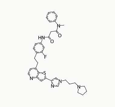 CN(C(=O)CC(=O)Nc1ccc(CCc2ccnc3cc(-c4cn(CCCN5CCCC5)cn4)sc23)c(F)c1)c1ccccc1